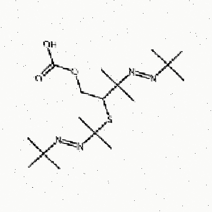 CC(C)(C)N=NC(C)(C)SC(COC(=O)O)C(C)(C)N=NC(C)(C)C